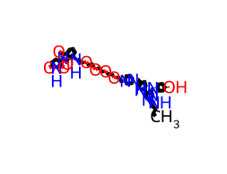 CCCCNc1ncc(-c2ccc(CN3CCN(CCOCCOCCOCCOCCNc4cccc5c4C(=O)N(C4CCC(=O)NC4=O)C5=O)CC3)cn2)c(N[C@H]2CC[C@H](O)CC2)n1